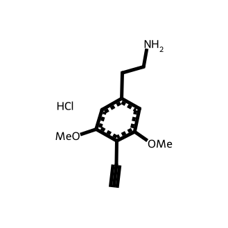 C#Cc1c(OC)cc(CCN)cc1OC.Cl